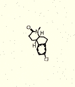 CN1C(=O)CC[C@H]2c3ccc(Cl)cc3CC[C@@H]21